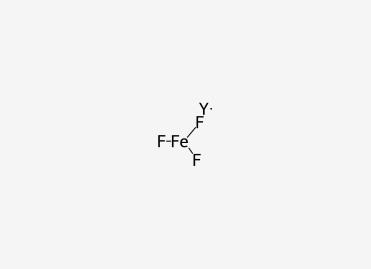 [F][Fe]([F])[F].[Y]